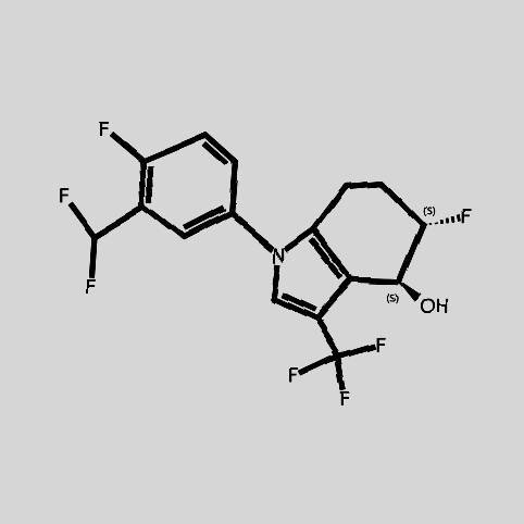 O[C@H]1c2c(C(F)(F)F)cn(-c3ccc(F)c(C(F)F)c3)c2CC[C@@H]1F